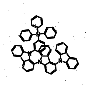 c1ccc([Si](c2ccccc2)(c2ccccc2)c2cccc(-n3c4ccccc4c4cccc(-n5c6ccccc6c6c(-n7c8ccccc8c8ccccc87)cccc65)c43)c2)cc1